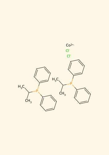 CC(C)P(c1ccccc1)c1ccccc1.CC(C)P(c1ccccc1)c1ccccc1.[Cl-].[Cl-].[Co+2]